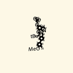 COc1ccc(-c2ccc(CN(C(=O)CC(C)(C)C)c3nccc4cc(OCCS(C)(=O)=O)ccc34)cc2)cc1C